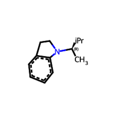 CC(C)[C@@H](C)N1CCc2ccccc21